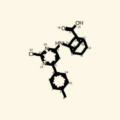 Cc1ccc(-c2cc(NC3C4CCC(CC4)C3C(=O)O)nc(Cl)n2)cc1